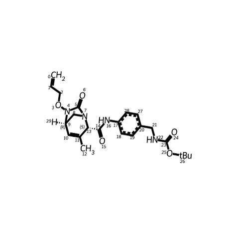 C=CCON1C(=O)N2C[C@H]1C=C(C)[C@H]2C(=O)Nc1ccc(CNC(=O)OC(C)(C)C)cc1